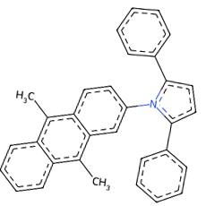 Cc1c2ccccc2c(C)c2cc(-n3c(-c4ccccc4)ccc3-c3ccccc3)ccc12